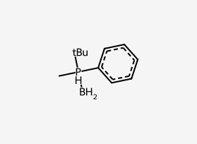 B[PH](C)(c1ccccc1)C(C)(C)C